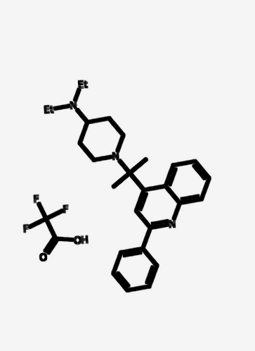 CCN(CC)C1CCN(C(C)(C)c2cc(-c3ccccc3)nc3ccccc23)CC1.O=C(O)C(F)(F)F